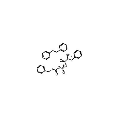 NC(Cc1ccccc1)C(=O)O[PH](=O)OC(=O)OCc1ccccc1.c1ccc(CCc2ccccc2)cc1